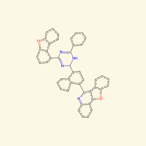 c1ccc(C2=NC(c3cccc4oc5ccccc5c34)=NC(c3ccc(-c4nc5ccccc5c5oc6ccccc6c45)c4ccccc34)N2)cc1